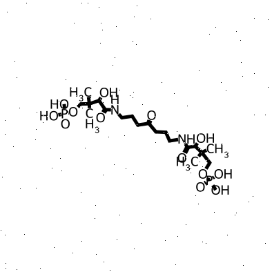 CC(C)(COP(=O)(O)O)C(O)C(=O)NCCCC(=O)CCCNC(=O)C(O)C(C)(C)COP(=O)(O)O